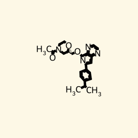 CC(=O)N1CCO[C@H](COc2nc(-c3ccc(C(C)C)cc3)cc3nccnc23)C1